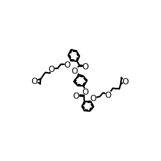 O=C(Oc1ccc(OC(=O)c2ccccc2OCCOCCC2CO2)cc1)c1ccccc1OCCOCCC1CO1